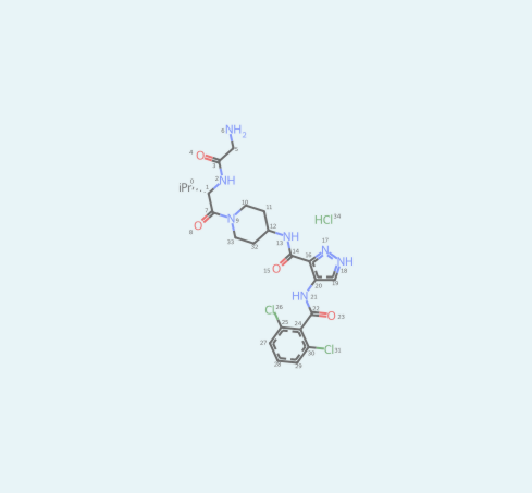 CC(C)[C@H](NC(=O)CN)C(=O)N1CCC(NC(=O)c2n[nH]cc2NC(=O)c2c(Cl)cccc2Cl)CC1.Cl